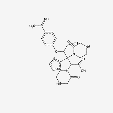 CCC(Oc1ccc(C(=N)N)cc1)C(c1nccs1)(C(C(=O)O)N1CCNCC1=O)N1CCNCC1=O